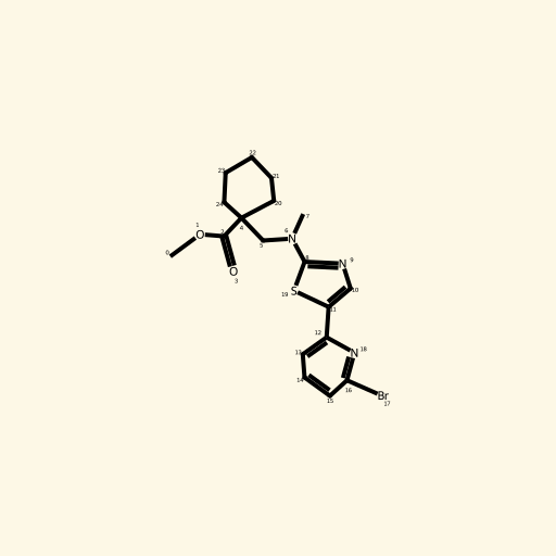 COC(=O)C1(CN(C)c2ncc(-c3cccc(Br)n3)s2)CCCCC1